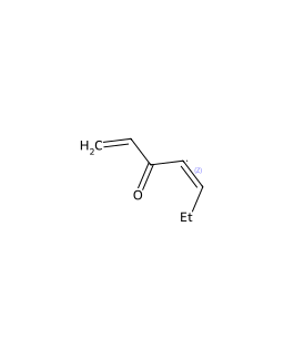 C=CC(=O)/[C]=C\CC